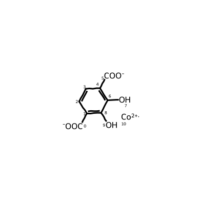 O=C([O-])c1ccc(C(=O)[O-])c(O)c1O.[Co+2]